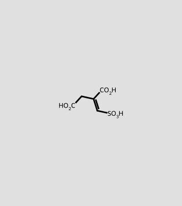 O=C(O)CC(=CS(=O)(=O)O)C(=O)O